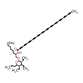 C=CCC1O[C@H](OC[C@H](NC(=O)C#CC#CC#CC#CC#CC#CC#CC#CC#CC#CC#CC#CC)[C@H](F)CCCCCCCCCCCCCC)[C@@H](C=C)C(C=C)[C@H]1C=C